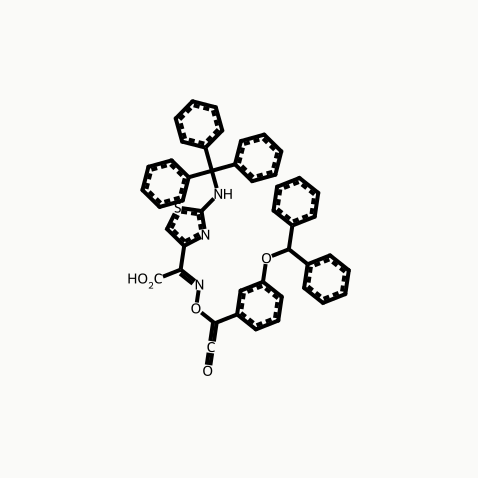 O=C=C(ON=C(C(=O)O)c1csc(NC(c2ccccc2)(c2ccccc2)c2ccccc2)n1)c1cccc(OC(c2ccccc2)c2ccccc2)c1